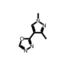 Cc1nn(C)cc1-c1nnco1